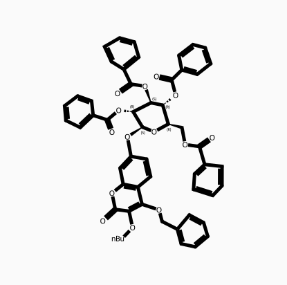 CCCCOc1c(OCc2ccccc2)c2ccc(O[C@@H]3O[C@H](COC(=O)c4ccccc4)[C@@H](OC(=O)c4ccccc4)[C@H](OC(=O)c4ccccc4)[C@H]3OC(=O)c3ccccc3)cc2oc1=O